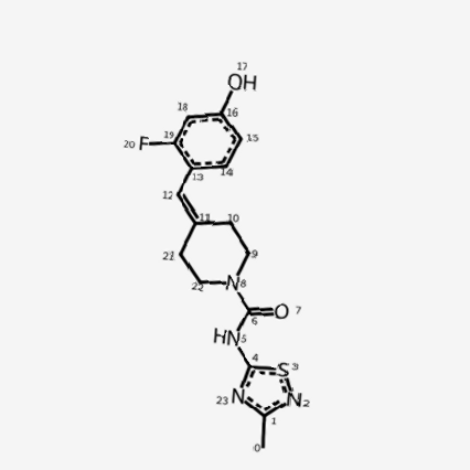 Cc1nsc(NC(=O)N2CCC(=Cc3ccc(O)cc3F)CC2)n1